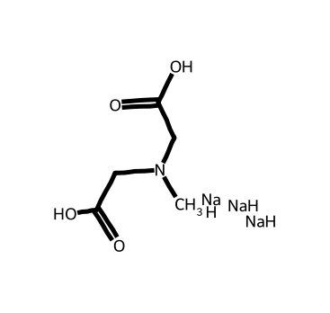 CN(CC(=O)O)CC(=O)O.[NaH].[NaH].[NaH]